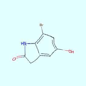 O=C1Cc2cc(O)cc(Br)c2N1